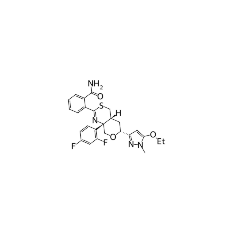 CCOc1cc([C@H]2C[C@H]3CSC(c4ccccc4C(N)=O)=N[C@@]3(c3ccc(F)cc3F)CO2)nn1C